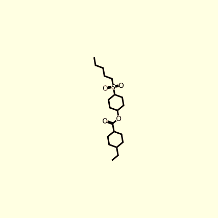 CCCCCS(=O)(=O)C1CCC(OC(=O)C2CCC(CC)CC2)CC1